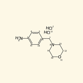 Cl.Cl.Nc1ccc(CN2CCOCC2)cc1